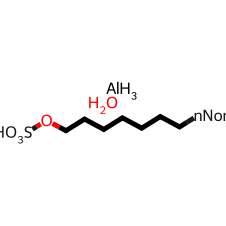 CCCCCCCCCCCCCCCCOS(=O)(=O)O.O.[AlH3]